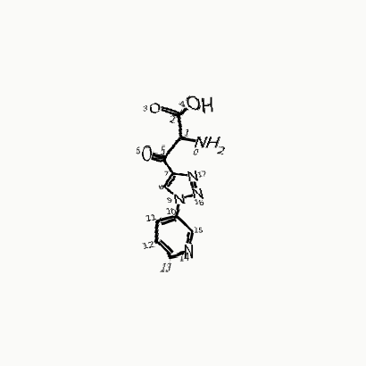 NC(C(=O)O)C(=O)c1cn(-c2cccnc2)nn1